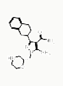 NC(=O)c1c(C2CCc3ccccc3C2)nn(C[C@H]2CNCCO2)c1N